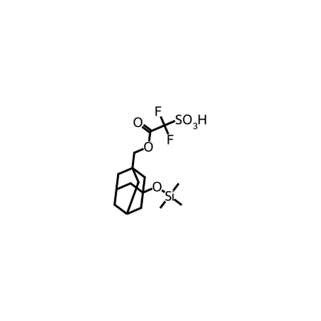 C[Si](C)(C)OC12CC3CC(CC(COC(=O)C(F)(F)S(=O)(=O)O)(C3)C1)C2